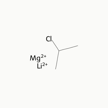 CC(C)Cl.[Li+2].[Mg+2]